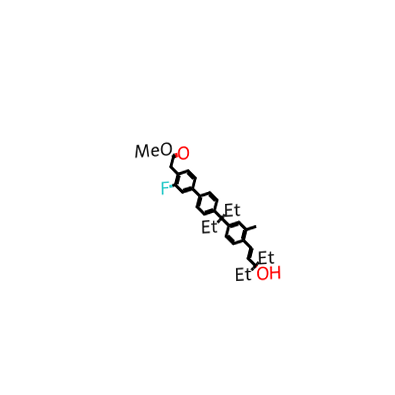 CCC(O)(C=Cc1ccc(C(CC)(CC)c2ccc(-c3ccc(CC(=O)OC)c(F)c3)cc2)cc1C)CC